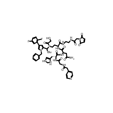 CC(C)(C)C(c1cc(-c2cc(F)ccc2F)cn1Cc1ccccc1)N(CCC(NC(=O)C(CC(N)=O)NC(=O)[C@@H](CC1=CNCN1)NC(=O)CNC(=O)Cc1ccncc1)C(=O)NCCNC(=O)CN1C(=O)C=CC1=O)C(=O)CO